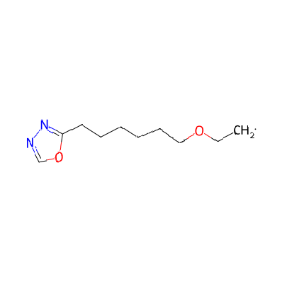 [CH2]COCCCCCCc1nnco1